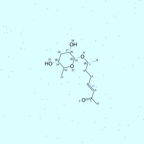 CC(=O)/C=C/CC[C@@H](C)O[C@@H]1OC(C)[C@H](O)C[C@@H]1O